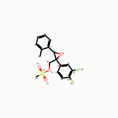 Cc1ccccc1C1OC1(COS(C)(=O)=O)c1ccc(F)c(F)c1